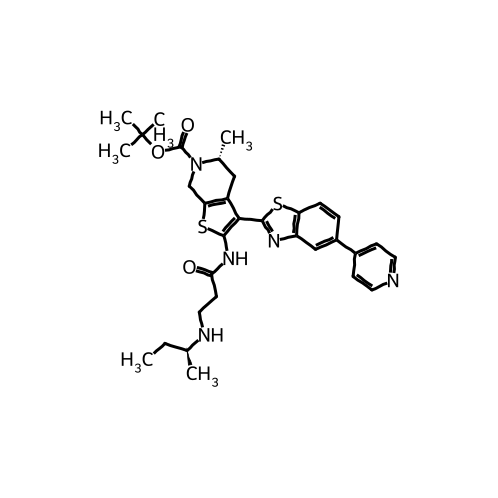 CC[C@H](C)NCCC(=O)Nc1sc2c(c1-c1nc3cc(-c4ccncc4)ccc3s1)C[C@@H](C)N(C(=O)OC(C)(C)C)C2